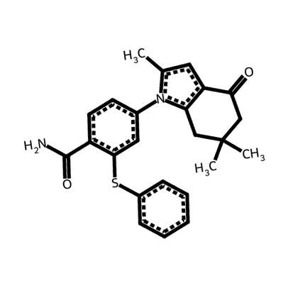 Cc1cc2c(n1-c1ccc(C(N)=O)c(Sc3ccccc3)c1)CC(C)(C)CC2=O